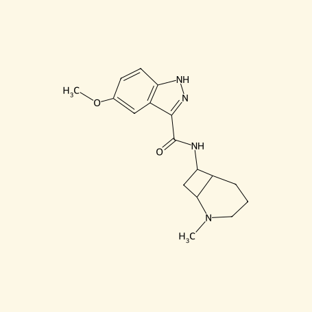 COc1ccc2[nH]nc(C(=O)NC3CC4C3CCCN4C)c2c1